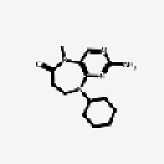 CN1C(=O)CCN(C2CCCCC2)c2nc(N)ncc21